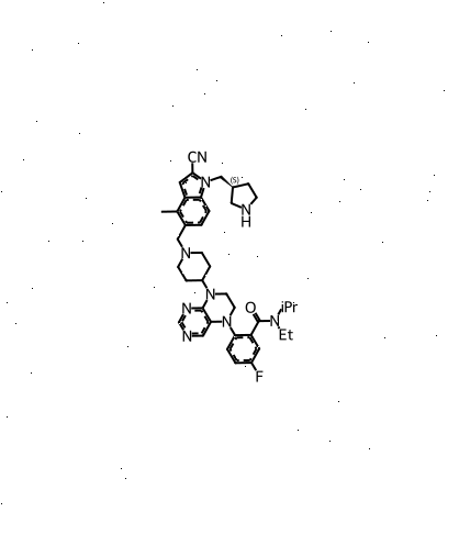 CCN(C(=O)c1cc(F)ccc1N1CCN(C2CCN(Cc3ccc4c(cc(C#N)n4C[C@H]4CCNC4)c3C)CC2)c2ncncc21)C(C)C